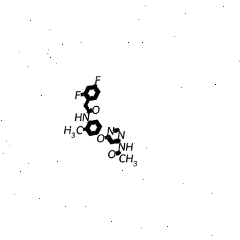 CC(=O)Nc1cc(Oc2ccc(NC(=O)Cc3ccc(F)cc3F)c(C)c2)ncn1